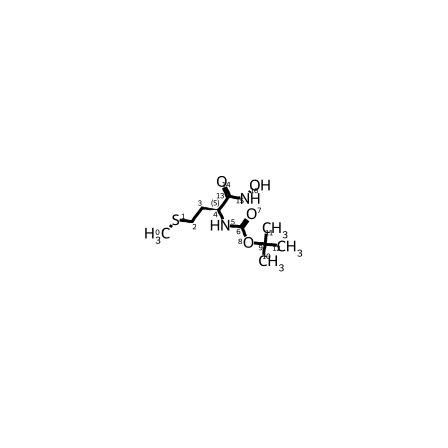 CSCC[C@H](NC(=O)OC(C)(C)C)C(=O)NO